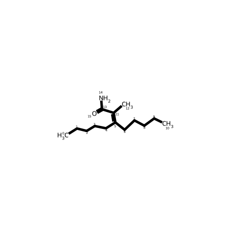 CCCCCC(CCCCC)=C(C)C(N)=O